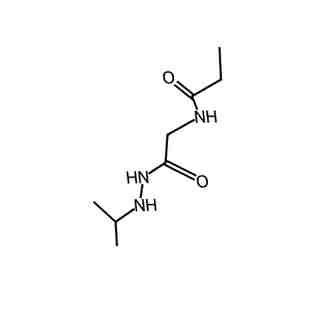 CCC(=O)NCC(=O)NNC(C)C